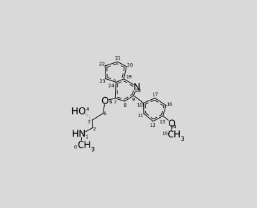 CNC[C@H](O)COc1cc(-c2ccc(OC)cc2)nc2ccccc12